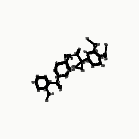 C=C(Nc1ccc(C(=O)c2ccccc2OC)cn1)C1(c2ccc(OC)c(OC)c2)CC1